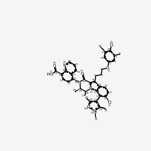 Cc1cc(OCCCc2c3n(c4c(-c5c(C)nn(C)c5C)c(Cl)ccc24)C(C)[C@@H](C)N(c2ccc(C(=O)O)c4ncccc24)C3=O)cc(C)c1Cl